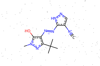 [C-]#[N+]c1cn[nH]c1/N=N/c1c(C(C)(C)C)nn(C)c1O